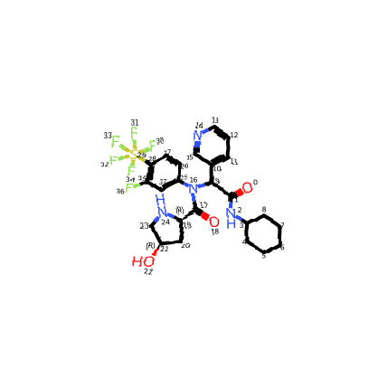 O=C(NC1CCCCC1)C(c1cccnc1)N(C(=O)[C@H]1C[C@@H](O)CN1)c1ccc(S(F)(F)(F)(F)F)c(F)c1